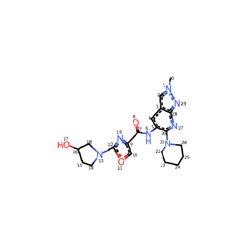 Cn1cc2cc(NC(=O)c3coc(N4CCC(O)C4)n3)c(N3CCCCC3)nc2n1